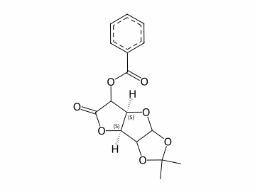 CC1(C)OC2O[C@@H]3C(OC(=O)c4ccccc4)C(=O)O[C@@H]3C2O1